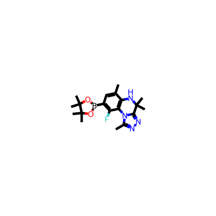 Cc1cc(B2OC(C)(C)C(C)(C)O2)c(F)c2c1NC(C)(C)c1nnc(C)n1-2